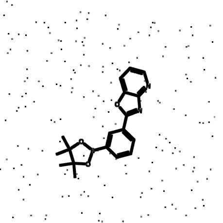 CC1(C)OB(c2cccc(-c3nc4ncccc4o3)c2)OC1(C)C